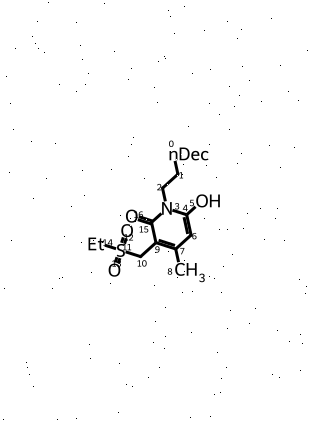 CCCCCCCCCCCCn1c(O)cc(C)c(CS(=O)(=O)CC)c1=O